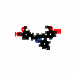 COc1cc(/C=C/c2cc(/C=C/c3ccc(O)c(OC)c3)n(-c3ccc(I)cc3)n2)ccc1O